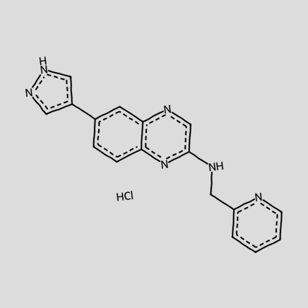 Cl.c1ccc(CNc2cnc3cc(-c4cn[nH]c4)ccc3n2)nc1